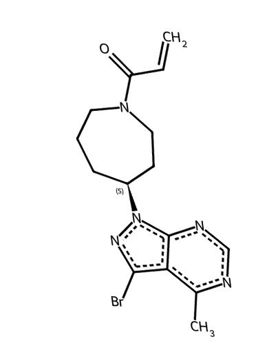 C=CC(=O)N1CCC[C@H](n2nc(Br)c3c(C)ncnc32)CC1